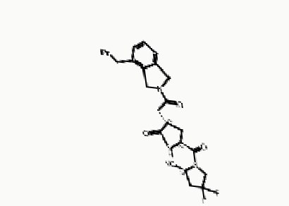 CC(C)Cc1cccc2c1CN(C(=O)C[C@@H]1C[C@@H](C(=O)N3CC(F)(F)C[C@H]3C#N)NC1=O)C2